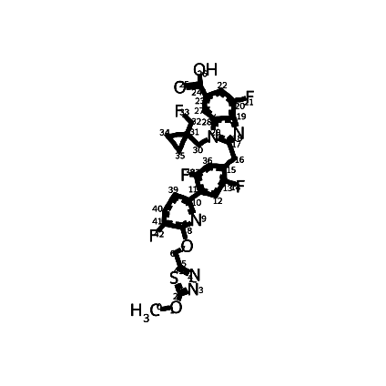 COc1nnc(COc2nc(-c3cc(F)c(Cc4nc5c(F)cc(C(=O)O)cc5n4CC4(CF)CC4)cc3F)ccc2F)s1